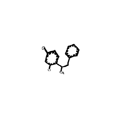 N#CC(Cc1ccccc1)c1ccc(Cl)cc1Cl